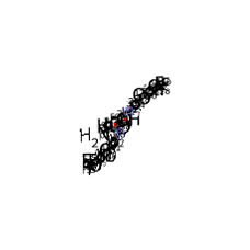 Nc1ccc(CC(CC(=O)/C=C/c2ccc(C(=O)Oc3ccc(OC(F)(F)C(F)F)cc3)cc2)C(O)(O)C(=O)/C=C/c2ccc(C(=O)Oc3ccc(OC(F)(F)C(F)F)cc3)cc2)cc1